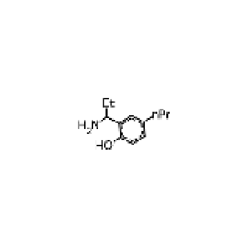 CCCc1ccc(O)c(C(N)CC)c1